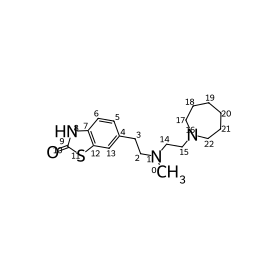 CN(CCc1ccc2[nH]c(=O)sc2c1)CCN1CCCCCC1